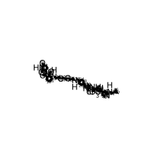 O=C1CCC(N2C(=O)c3cccc(NCCOCCOCCNCc4ccc(-n5cc(NC(=O)c6cnc(-c7ccnc(NCC8CC8)c7)o6)c(C(F)(F)F)n5)cc4)c3C2=O)C(=O)N1